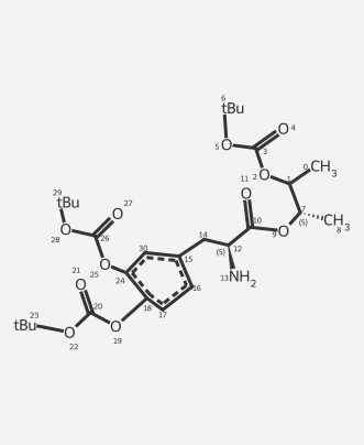 CC(OC(=O)OC(C)(C)C)[C@H](C)OC(=O)[C@@H](N)Cc1ccc(OC(=O)OC(C)(C)C)c(OC(=O)OC(C)(C)C)c1